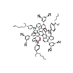 CCCCCC(CC)c1ccc(N2c3ccccc3C3(c4cc(-c5cc(C#N)cc(C#N)c5)ccc4-c4c3c3c(c5c4C4(c6cc(-c7cc(C#N)cc(C#N)c7)ccc6-5)c5ccccc5N(c5ccc(C(CC)CCCCC)cc5)c5ccccc54)C4(c5cc(-c6cc(C#N)cc(C#N)c6)ccc5-3)c3ccccc3N(c3ccc(C(CC)CCCCC)cc3)c3ccccc34)c3ccccc32)cc1